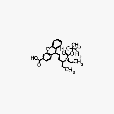 CCC(CCC1c2ccccc2Oc2cc(C(=O)O)ccc21)N(CC)C(=O)OC(C)(C)C